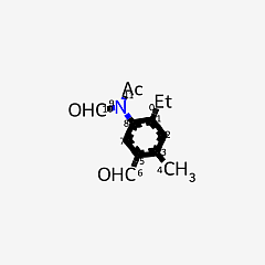 CCc1cc(C)c(C=O)cc1N(C=O)C(C)=O